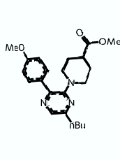 CCCCc1cnc(-c2ccc(OC)cc2)c(N2CCC(C(=O)OC)CC2)n1